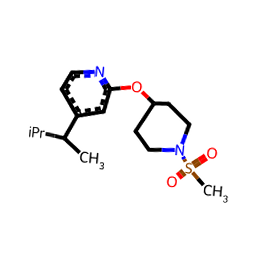 CC(C)C(C)c1ccnc(OC2CCN(S(C)(=O)=O)CC2)c1